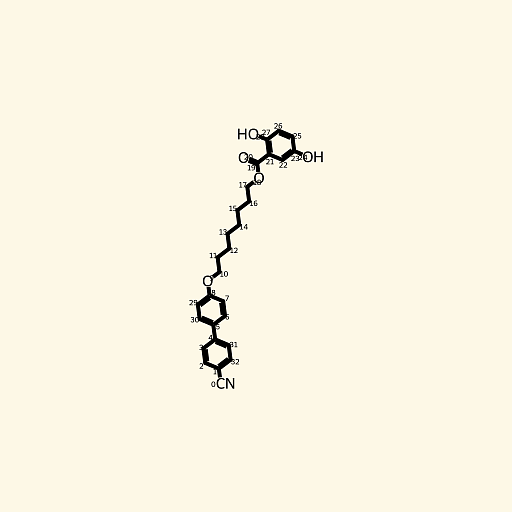 N#Cc1ccc(-c2ccc(OCCCCCCCCOC(=O)c3cc(O)ccc3O)cc2)cc1